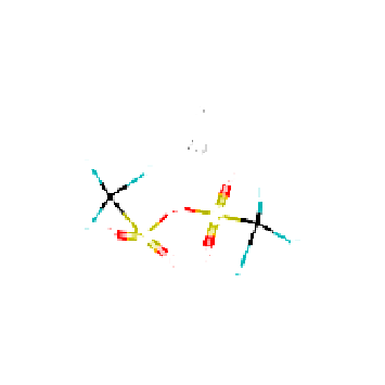 O=S(=O)(OS(=O)(=O)C(F)(F)F)C(F)(F)F.[Ag].[Ag]